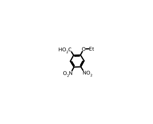 CCOc1cc([N+](=O)[O-])c([N+](=O)[O-])cc1C(=O)O